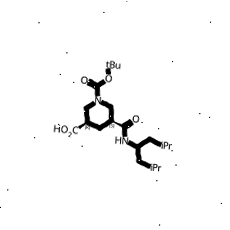 CC(C)CC(CC(C)C)NC(=O)[C@H]1C[C@@H](C(=O)O)CN(C(=O)OC(C)(C)C)C1